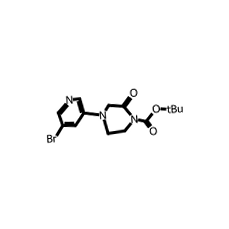 CC(C)(C)OC(=O)N1CCN(c2cncc(Br)c2)CC1=O